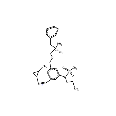 CCCN(c1cc(/C=C\C2CC2C)cc(COC[C@](C)(N)Cc2ccccc2)c1)S(C)(=O)=O